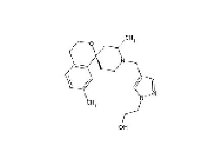 Cc1ccc2c(c1)[C@]1(CCN(Cc3cnn(CCO)c3)[C@@H](C)C1)OCC2